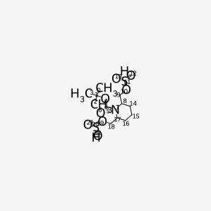 CC(C)(C)OC(=O)N1C(CO[SH](=O)=O)CCCC1CO[SH](=O)=O